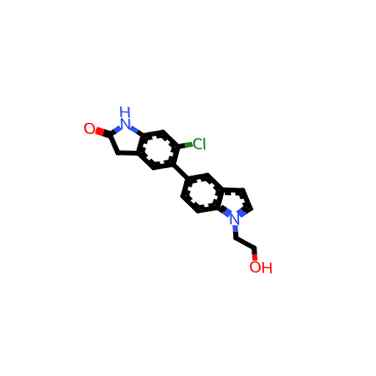 O=C1Cc2cc(-c3ccc4c(ccn4CCO)c3)c(Cl)cc2N1